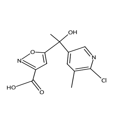 Cc1cc(C(C)(O)c2cc(C(=O)O)no2)cnc1Cl